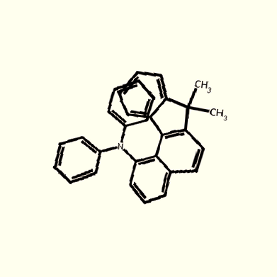 CC1(C)c2ccccc2-c2c1ccc1cccc(N(c3ccccc3)c3ccccc3)c21